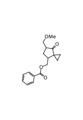 COCC1CC(COC(=O)c2ccccc2)C2(CC2)C1=O